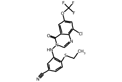 CCSc1ccc(C#N)cc1Nn1cnc2c(Cl)cc(OC(F)(F)F)cc2c1=O